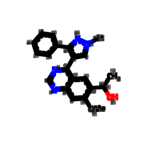 CCn1cc(-c2ncnc3cc(OC)c([C@@H](C)O)cc23)c(-c2ccccc2)n1